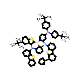 CC(C)(C)c1ccc(N(c2ccc(C(C)(C)C)cc2)c2ccc3c(c2)N(c2cccc4c2sc2c(-c5ccccc5)cccc24)c2cccc4c2B3c2sc3ccc(C(C)(C)C)cc3c2N4c2cccc3c2sc2ccccc23)cc1